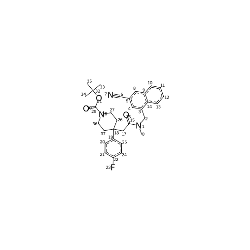 CN(Cc1cc(C#N)cc2ccccc12)C(=O)CC1(c2ccc(F)cc2)CCN(C(=O)OC(C)(C)C)CC1